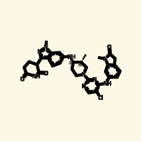 C[C@@H]1CN(c2ncc(Cl)c(Nc3ccc4c(c3)N(C)C(=O)C4)n2)CC[C@H]1Nc1ccc2c(C3CCC(=O)NC3=O)nn(C)c2c1